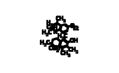 CCOc1ccc2c(c1)C(C)=CC(C)(C)N2.Cc1c(C)c2c(c(C)c1O)CCC(C)(C(=O)O)O2